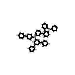 C1#CCCC(n2c3ccccc3c3c(-c4cccc(N(c5ccc(-c6ccccc6)cc5)c5cc(-c6ccccc6)cc(-c6ccccc6)c5)c4)cccc32)=C1